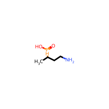 CC(CCN)[PH](=O)O